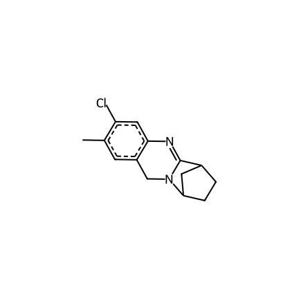 Cc1cc2c(cc1Cl)N=C1C3CCC(C3)N1C2